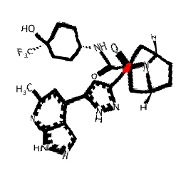 Cc1cc(-c2cc(C(=O)N3[C@@H]4CC[C@H]3C[C@H](C(=O)N[C@H]3CC[C@@](O)(C(F)(F)F)CC3)C4)n[nH]2)c2cn[nH]c2n1